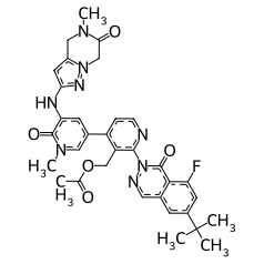 CC(=O)OCc1c(-c2cc(Nc3cc4n(n3)CC(=O)N(C)C4)c(=O)n(C)c2)ccnc1-n1ncc2cc(C(C)(C)C)cc(F)c2c1=O